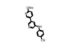 COc1ccc(-c2cncc(Nc3ccc(C#N)cc3)c2)cn1